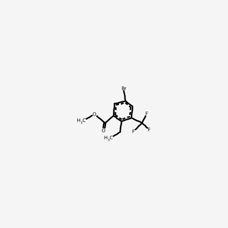 CCc1c(C(=O)OC)cc(Br)cc1C(F)(F)F